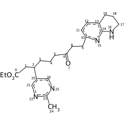 CCOC(=O)CC(CCCC(=O)CCc1ccc2c(n1)NCCC2)c1cnc(C)nc1